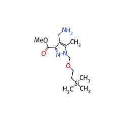 COC(=O)c1nn(COCC[Si](C)(C)C)c(C)c1CN